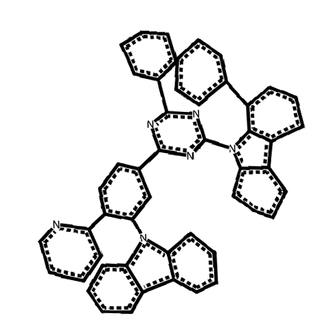 c1ccc(-c2nc(-c3ccc(-c4ccccn4)c(-n4c5ccccc5c5ccccc54)c3)nc(-n3c4ccccc4c4cccc(-c5ccccc5)c43)n2)cc1